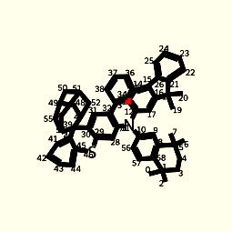 CC1(C)CCC(C)(C)c2cc(N(c3ccc4c(c3)C(C)(C)c3ccccc3-4)c3cc4c(cc3-c3ccccc3)C3(c5ccccc5S4)C4CC5CC(C4)CC3C5)ccc21